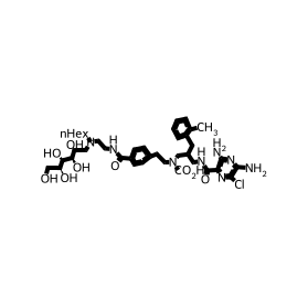 CCCCCCN(CCNC(=O)c1ccc(CCN(CC(CNC(=O)c2nc(Cl)c(N)nc2N)Cc2ccccc2C)C(=O)O)cc1)C[C@H](O)[C@@H](O)[C@H](O)[C@H](O)CO